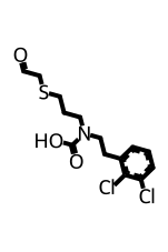 O=CCSCCCN(CCc1cccc(Cl)c1Cl)C(=O)O